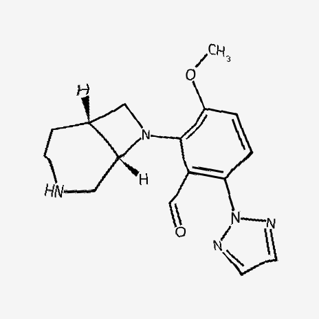 COc1ccc(-n2nccn2)c(C=O)c1N1C[C@H]2CCNC[C@H]21